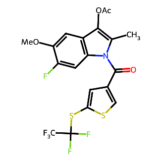 COc1cc2c(OC(C)=O)c(C)n(C(=O)c3csc(SC(F)(F)C(F)(F)F)c3)c2cc1F